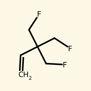 C=CC(CF)(CF)CF